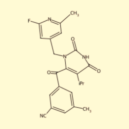 Cc1cc(C#N)cc(C(=O)c2c(C(C)C)c(=O)[nH]c(=O)n2Cc2cc(C)nc(F)c2)c1